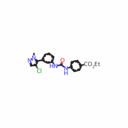 CCOC(=O)c1ccc(NC(=O)Nc2cccc(-c3c(Cl)cnn3C)c2)cc1